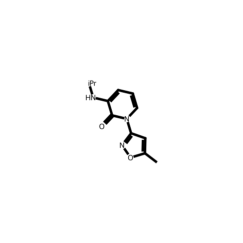 Cc1cc(-n2cccc(NC(C)C)c2=O)no1